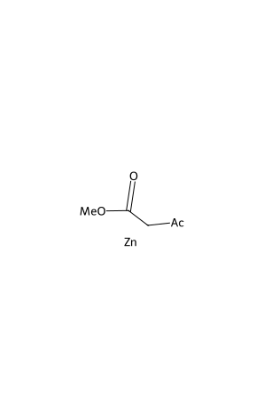 COC(=O)CC(C)=O.[Zn]